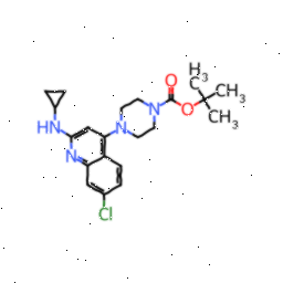 CC(C)(C)OC(=O)N1CCN(c2cc(NC3CC3)nc3cc(Cl)ccc23)CC1